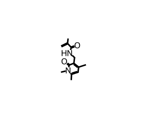 C=C(C)C(=O)NCc1c(C)cc(C)n(C)c1=O